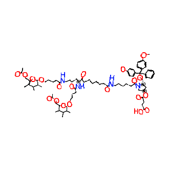 COc1ccc(C(OC[C@@H]2C[C@@H](OC(=O)CCC(=O)O)CN2C(=O)CCCCCNC(=O)CCCCCCC(=O)[C@H](CCCCNC(=O)CCCCOC2OC(COC(C)=O)C(C)C(C)C2C)NC(=O)CCCCOC2OC(COC(C)=O)C(C)C(C)C2C)(c2ccccc2)c2ccc(OC)cc2)cc1